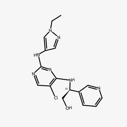 CCn1cc(Nc2ncc(Cl)c(N[C@H](CO)c3cccnc3)n2)cn1